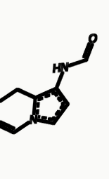 O=CNc1ccn2c1CCC=C2